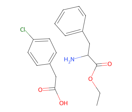 CCOC(=O)C(N)Cc1ccccc1.O=C(O)Cc1ccc(Cl)cc1